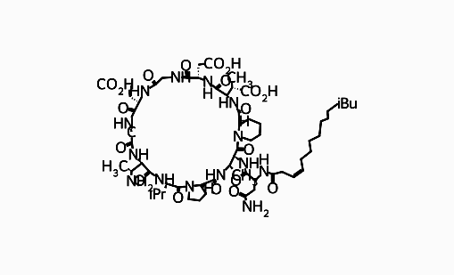 CCC(C)CCCCCCC/C=C\CC(=O)N[C@@H](CC(N)=O)C(=O)N[C@@H]1C(=O)N2CCCC[C@@H]2C(=O)N[C@@H]([C@H](C)C(=O)O)C(=O)N[C@@H](CC(=O)O)C(=O)NCC(=O)N[C@@H](CC(=O)O)C(=O)NCC(=O)N[C@H]([C@@H](C)N)C(=O)N[C@H](C(C)C)C(=O)N2CCC[C@H]2C(=O)N[C@@H]1C